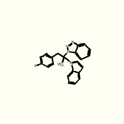 OC(Cc1ccc(F)cc1)(n1ccc2ccccc21)n1nnc2ccccc21